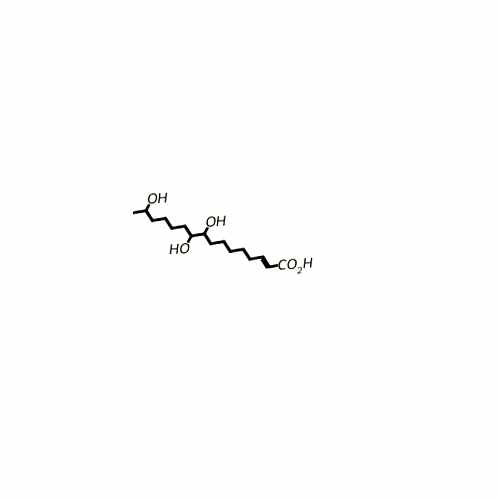 CC(O)CCCCC(O)C(O)CCCCCC=CC(=O)O